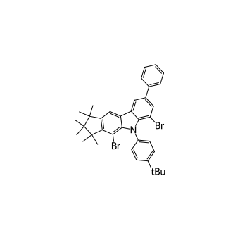 CC(C)(C)c1ccc(-n2c3c(Br)cc(-c4ccccc4)cc3c3cc4c(c(Br)c32)C(C)(C)C(C)(C)C4(C)C)cc1